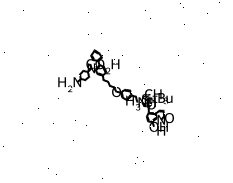 CC(C)(C)[Si](C)(C)O[C@H](CNCCc1ccc(OCCCCc2ccc(-c3ccccc3)c(N(C(=O)O)C3CCC(N)CC3)c2)cc1)c1ccc(O)c2[nH]c(=O)ccc12